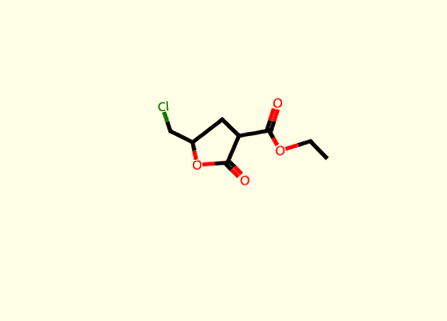 CCOC(=O)C1CC(CCl)OC1=O